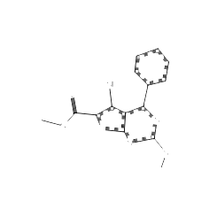 CNC(=O)c1sc2nc(NC)nc(-c3ccccc3)c2c1N